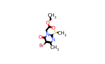 CCOC(=O)Cn1c(SC)nc(C)c(Br)c1=O